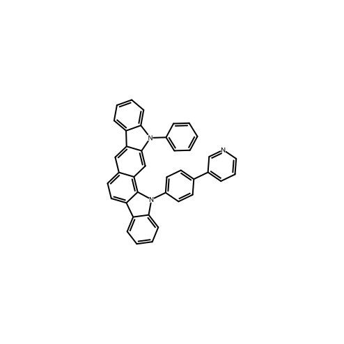 c1ccc(-n2c3ccccc3c3cc4ccc5c6ccccc6n(-c6ccc(-c7cccnc7)cc6)c5c4cc32)cc1